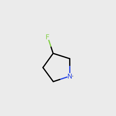 FC1CC[N]C1